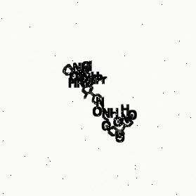 Cc1cc(Nc2ncc(Cl)c(Nc3ccccc3C(=O)O)n2)c(OC(C)C)cc1C1CCN(CC(=O)NCCOc2ccc3occ(C4CCC(=O)NC4=O)c3c2)CC1